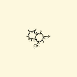 Clc1cc(I)cc2nccnc12